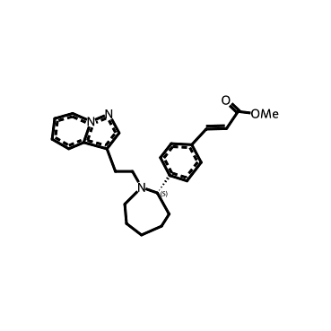 COC(=O)C=Cc1ccc([C@@H]2CCCCCN2CCc2cnn3ccccc23)cc1